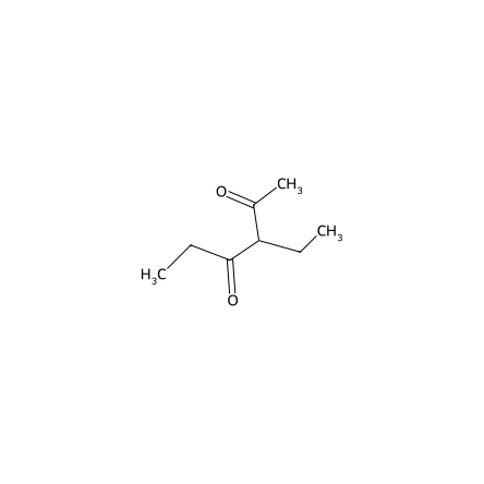 CCC(=O)C(CC)C(C)=O